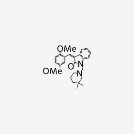 COc1ccc(OC)c(/C=C2\C(=O)N(CN3CCCC(C)(C)C3)c3ccccc32)c1